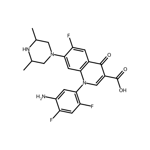 CC1CN(c2cc3c(cc2F)c(=O)c(C(=O)O)cn3-c2cc(N)c(F)cc2F)CC(C)N1